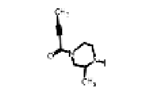 CC#CC(=O)N1CCN(I)C(C)C1